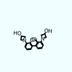 Cc1c(-c2cccc(N3CC(O)C3)c2Cl)cccc1N1CC(O)C1